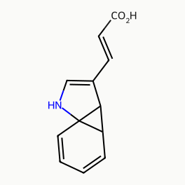 O=C(O)/C=C/C1=CNC23C=CC=CC2C13